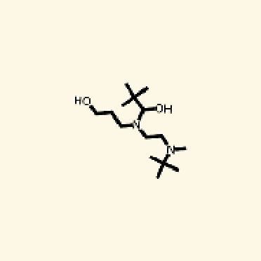 CN(CCN(CCCO)C(O)C(C)(C)C)C(C)(C)C